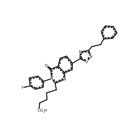 O=C(O)CCCCc1nc2cc(-c3nc(CCc4ccccc4)no3)ccc2c(=O)n1-c1ccc(F)cc1